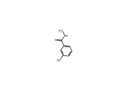 CNC(=O)c1cccc(S)c1